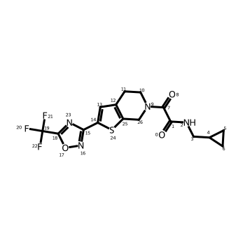 O=C(NCC1CC1)C(=O)N1CCc2cc(-c3noc(C(F)(F)F)n3)sc2C1